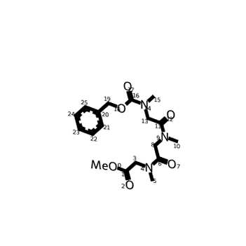 COC(=O)CN(C)C(=O)CN(C)C(=O)CN(C)C(=O)OCc1ccccc1